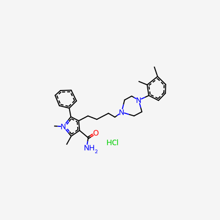 Cc1cccc(N2CCN(CCCCc3c(C(N)=O)c(C)n(C)c3-c3ccccc3)CC2)c1C.Cl